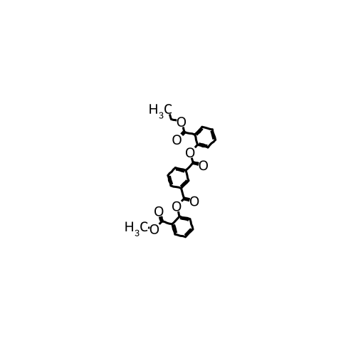 CCOC(=O)c1ccccc1OC(=O)c1cccc(C(=O)Oc2ccccc2C(=O)OC)c1